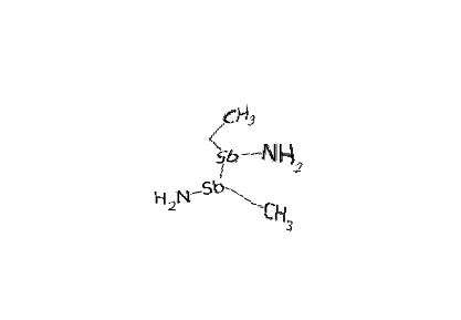 C[CH2][Sb]([NH2])[Sb]([NH2])[CH2]C